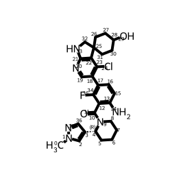 Cn1cc([C@H]2CCCCN2C(=O)c2c(N)ccc(-c3cnc4c(c3Cl)C3(CCC(O)CC3)CN4)c2F)cn1